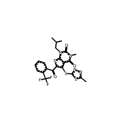 Cc1nnc(Sc2c(C(=O)c3ccccc3C(F)(F)F)sc3c2c(=O)n(C)c(=O)n3CC(C)C)s1